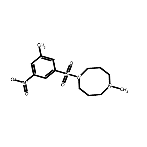 Cc1[c]c(S(=O)(=O)N2CCCN(C)CCC2)cc([N+](=O)[O-])c1